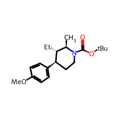 CC[C@@H]1[C@@H](C)N(C(=O)OC(C)(C)C)CC[C@H]1c1ccc(OC)cc1